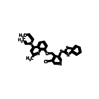 C=CN(/C=C\C)c1cc(C)nc2c(OCc3c(Cl)cncc3Sc3nc4ccccc4s3)cccc12